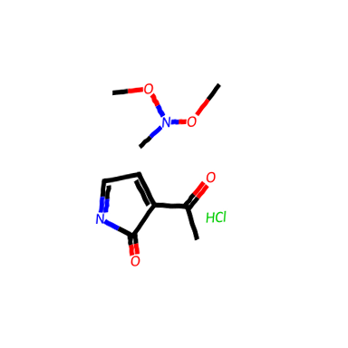 CC(=O)C1=CC=NC1=O.CON(C)OC.Cl